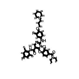 CCN(CC)C(=O)c1ccc(Oc2nc(Nc3ccc(OCCCN4CCCCC4)c(F)c3)ncc2C(=O)Nc2c(C)cc(F)cc2C)c(Cl)c1